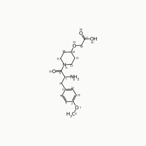 COc1ccc(CC(N)C(=O)N2CCC(OCC(=O)O)CC2)cc1